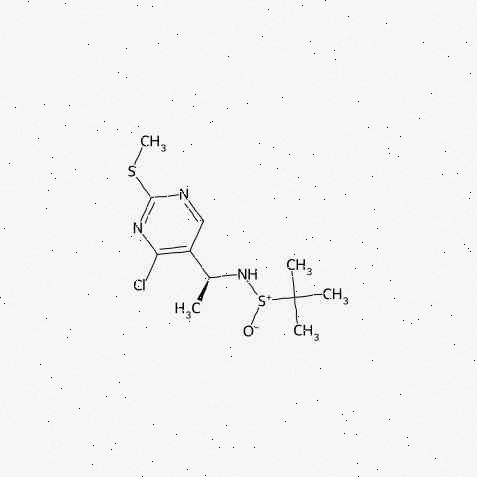 CSc1ncc([C@H](C)N[S+]([O-])C(C)(C)C)c(Cl)n1